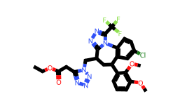 CCOC(=O)Cc1nnnn1CC1CC(c2cccc(OC)c2OC)c2cc(Cl)ccc2-n2c1nnc2C(F)(F)F